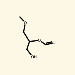 COCC(CO)OC=O